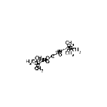 CCO[Si](CCCCNC(=O)OCCOCCOC(=O)NCCC[Si](OCC)(OCC)OCC)(OCC)OCC